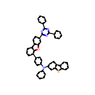 c1ccc(-c2nc(-c3ccccc3)nc(-c3ccc4c(c3)oc3c(-c5ccc(N(c6ccccc6)c6ccc7c(c6)sc6ccccc67)cc5)cccc34)n2)cc1